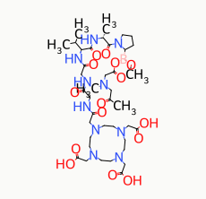 COB(OC(=O)CN(C)CC(C)=O)C1CCCN1C(=O)[C@@H](C)NC(=O)[C@@H](NC(=O)CNC(=O)CNC(=O)CN1CCN(CC(=O)O)CCN(CC(=O)O)CCN(CC(=O)O)CC1)C(C)C